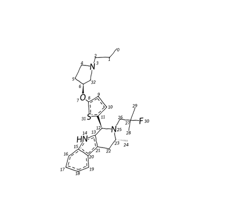 CCCN1CC[C@H](Oc2ccc([C@@H]3c4[nH]c5ccccc5c4C[C@@H](C)N3CC(C)(C)F)s2)C1